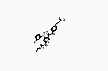 CCNC(=O)Nc1cc(Nc2cccc(F)c2)c(C(=O)Nc2ccc(CCC(=O)O)cc2)cn1